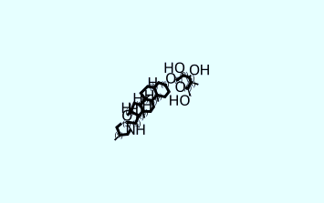 C[C@H]1CC[C@]2(NC1)O[C@H]1C[C@H]3[C@@H]4CC[C@H]5C[C@@H](O[C@@H]6O[C@H](CO)[C@H](C)[C@H](O)[C@H]6O)CC[C@]5(C)[C@H]4CC[C@]3(C)[C@H]1[C@@H]2C